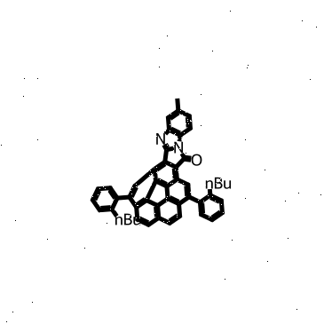 CCCCc1ccccc1-c1cc2c3c(=O)n4c5ccc(C)cc5nc4c3c3cc(-c4ccccc4CCCC)c4ccc5ccc1c1c5c4c3c21